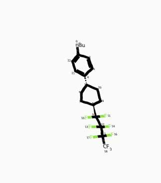 CCCCc1ccc([C@H]2CC[C@H](C(F)(F)C(F)(F)C(F)(F)C(F)(F)F)CC2)cc1